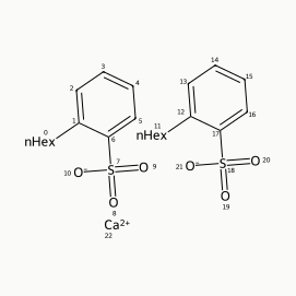 CCCCCCc1ccccc1S(=O)(=O)[O-].CCCCCCc1ccccc1S(=O)(=O)[O-].[Ca+2]